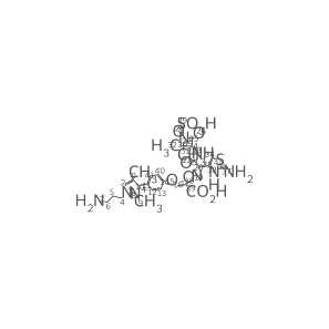 Cc1cn(CCCN)[n+](C)c1-c1ccc(OC[C@H](O/N=C(\C(=O)N[C@@H]2C(=O)N(OS(=O)(=O)O)C2(C)C)C2=CSC(N)N2)C(=O)O)cc1